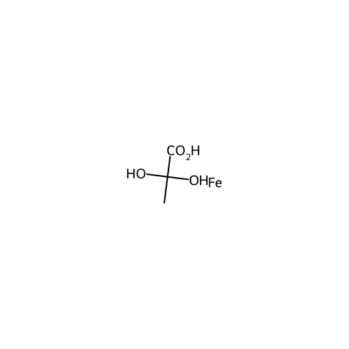 CC(O)(O)C(=O)O.[Fe]